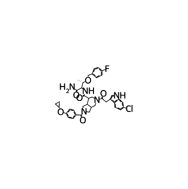 C[C@H](OCc1ccc(F)cc1)[C@@H](NC(=O)C1CN(C(=O)Cc2c[nH]c3cc(Cl)ccc23)CC2CN(C(=O)c3ccc(OC4CC4)cc3)CC21)C(N)=O